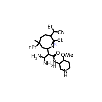 CCCC1(C)CCC(C(C#N)CC)/C(CC)=N\C(C(C(=O)NC2CNCCC2OC)C(N)N)C1